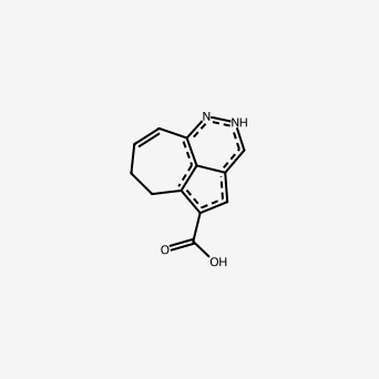 O=C(O)c1cc2c[nH]nc3c-2c1CCC=C3